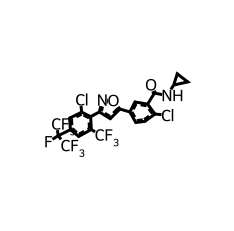 O=C(NC1CC1)c1cc(-c2cc(-c3c(Cl)cc(C(F)(C(F)(F)F)C(F)(F)F)cc3C(F)(F)F)no2)ccc1Cl